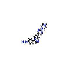 CN1CCN(c2ncc(-c3ccn4c(-c5ccc(N)cc5)cnc4c3)cn2)CC1